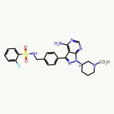 Nc1ncnc2c1c(-c1ccc(CNS(=O)(=O)c3ccccc3F)cc1)nn2[C@@H]1CCCN(C(=O)O)C1